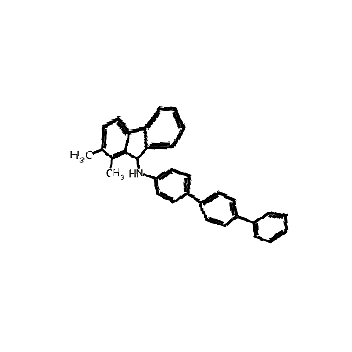 Cc1ccc2c(c1C)C(Nc1ccc(-c3ccc(-c4ccccc4)cc3)cc1)c1ccccc1-2